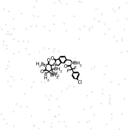 BN(Cc1ccc2c(c1)CN(C1C(=O)N(B)C(=O)C(B)(B)C1(B)B)C2=O)C(=O)C(F)(F)c1ccc(Cl)cc1